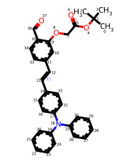 CC(C)(C)OC(=O)COc1cc(/C=C/c2ccc(N(c3ccccc3)c3ccccc3)cc2)ccc1C=O